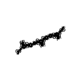 C=CC(=O)OCCOc1ccc(C(=O)Oc2ccc(-c3ccc(C(=O)Oc4ccc(OC(=O)c5ccc(-c6ccc(OC(=O)c7ccc(OCCOC(=O)C=C)c8c7OC(F)(F)O8)cc6)cc5)c5c4OC(F)(F)O5)cc3)cc2)c2c1OC(F)(F)O2